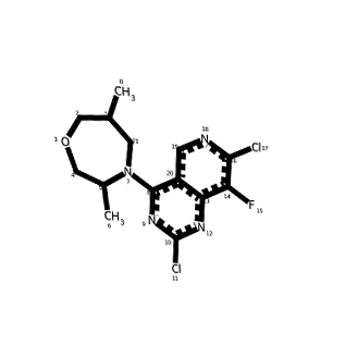 CC1COCC(C)N(c2nc(Cl)nc3c(F)c(Cl)ncc23)C1